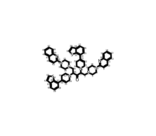 O=C(C(CN1CCN(c2ccc3ccccc3n2)CC1)N1CC=C(c2cccc3ccsc23)CC1)C(CN1CCN(c2ccc3ccccc3n2)CC1)N1CC=C(c2cccc3ccsc23)CC1